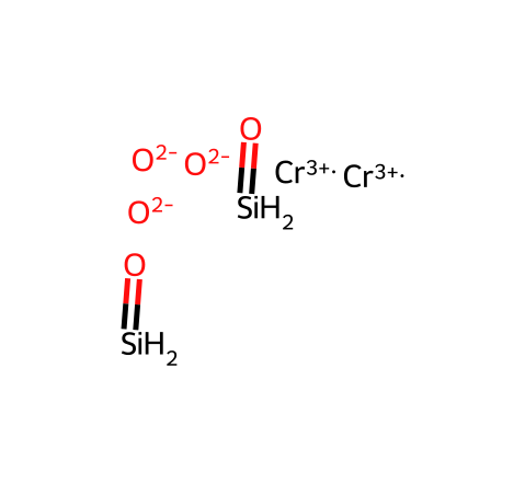 O=[SiH2].O=[SiH2].[Cr+3].[Cr+3].[O-2].[O-2].[O-2]